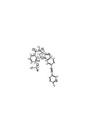 Cc1ccc(C#Cc2ccc3nc4n(c3c2)[C@@H]2C[C@H]4N(C)C(=O)c3cccc(OC(F)F)c32)cn1